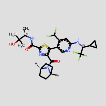 C[C@H](NC(=O)c1nc(C(=O)N2[C@H]3CC[C@H]2CC3)c(-c2cnc(N[C@@H](C3CC3)C(F)(F)F)cc2C(F)F)s1)C(C)(C)O